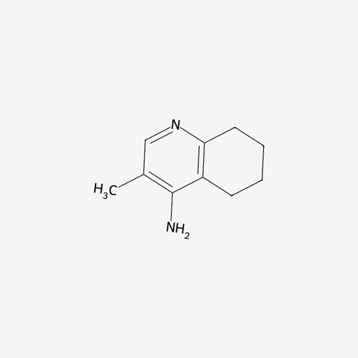 Cc1cnc2c(c1N)CCCC2